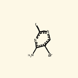 Nc1nc(I)ncc1Br